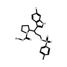 Cc1ccc(S(=O)(=O)OCCC(c2c[nH]c3cc(F)ccc23)C2CCCN2C(=O)OC(C)(C)C)cc1